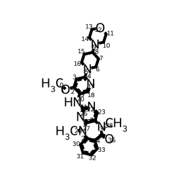 COc1cc(N2CCC(N3CCOCC3)CC2)ncc1Nc1ncc2c(n1)N(C)c1ccccc1C(=O)N2C